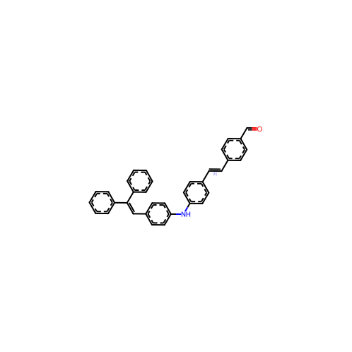 O=Cc1ccc(/C=C/c2ccc(Nc3ccc(C=C(c4ccccc4)c4ccccc4)cc3)cc2)cc1